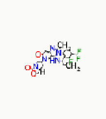 C=C[C@@H](Nc1nc(C)nc2cc(=O)n([C@H]3C[C@@H]4COC(=O)N4C3)cc12)c1cccc(C(F)F)c1F